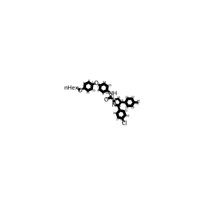 CCCCCCOc1ccc(Oc2ccc(NC(=O)N3CC(c4ccc(F)cc4)C(c4ccc(Cl)cc4)=N3)cc2)cc1